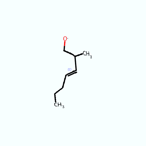 CCC/C=C/C(C)C[O]